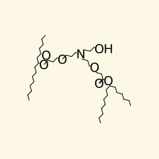 CCCCCCCCC(CCCCCC)OC(=O)CCOCCCN(CCCO)CCCOCCC(=O)OC(CCCCCC)CCCCCCCC